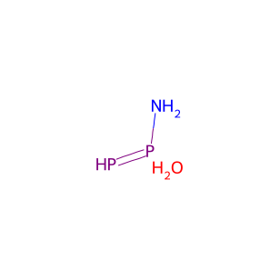 NP=P.O